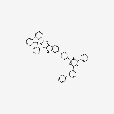 c1ccc(-c2cccc(-c3nc(-c4ccccc4)nc(-c4ccc(-c5ccc6c(c5)sc5cc(C7(c8ccccc8)c8ccccc8-c8ccccc87)ccc56)cc4)n3)c2)cc1